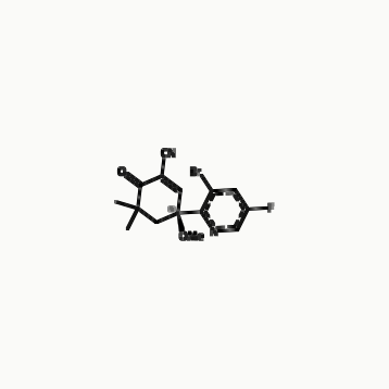 CO[C@]1(c2ncc(F)cc2Br)C=C(C#N)C(=O)C(C)(C)C1